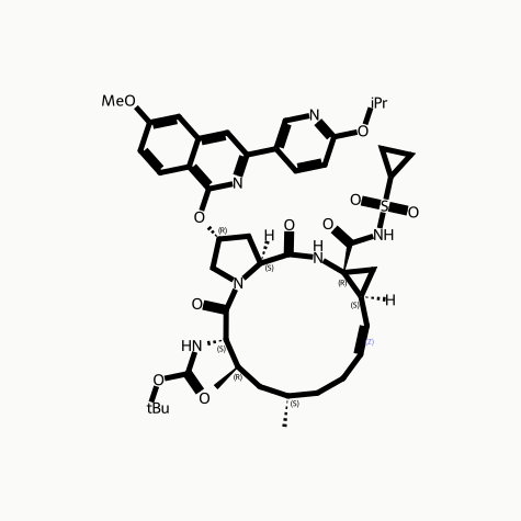 COc1ccc2c(O[C@@H]3C[C@H]4C(=O)N[C@]5(C(=O)NS(=O)(=O)C6CC6)C[C@H]5/C=C\CC[C@H](C)C[C@@H](C)[C@H](NC(=O)OC(C)(C)C)C(=O)N4C3)nc(-c3ccc(OC(C)C)nc3)cc2c1